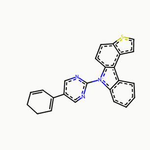 C1=CC(c2cnc(-n3c4ccccc4c4c5ccsc5ccc43)nc2)=CCC1